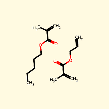 C=C(C)C(=O)OCCCCC.C=CCOC(=O)C(=C)C